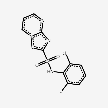 O=S(=O)(Nc1c(F)cccc1Cl)c1nc2ncccn2n1